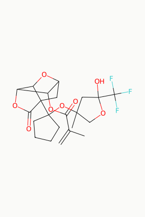 C=C(C)C(=O)OC1C2CC3(C4(OC5(C)COC(O)(C(F)(F)F)C5)CCCC4)C(=O)OC1C3O2